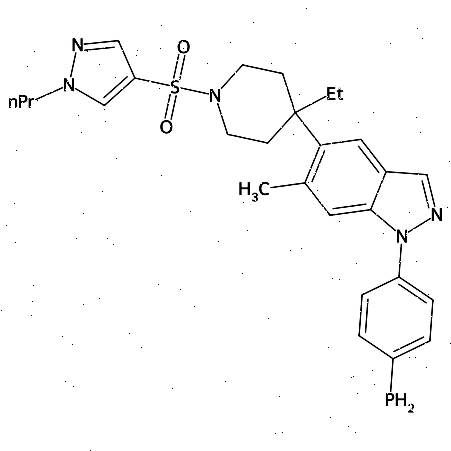 CCCn1cc(S(=O)(=O)N2CCC(CC)(c3cc4cnn(-c5ccc(P)cc5)c4cc3C)CC2)cn1